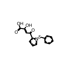 O=C(O)C(O)=CC(=O)c1cccn1Sc1ccccc1